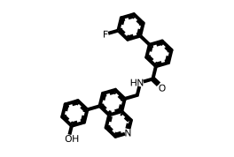 O=C(NCc1ccc(-c2cccc(O)c2)c2ccncc12)c1cccc(-c2cccc(F)c2)c1